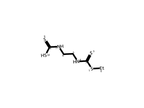 CCSC(=S)NCCNC(=S)S